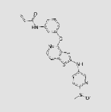 C=CC(=O)Nc1cccc(Oc2nccc3sc(Nc4ccc([S+](C)[O-])nc4)cc23)c1